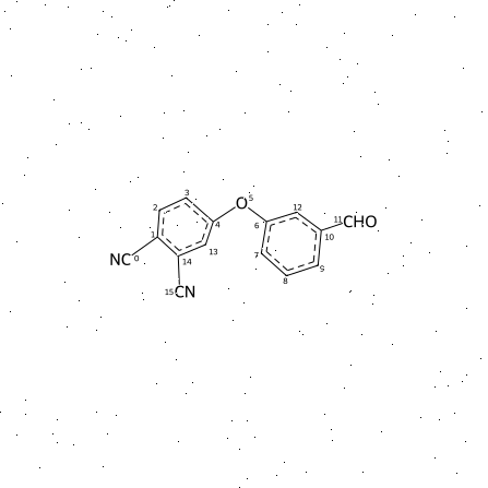 N#Cc1ccc(Oc2cccc(C=O)c2)cc1C#N